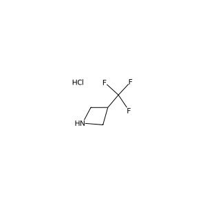 Cl.FC(F)(F)C1CNC1